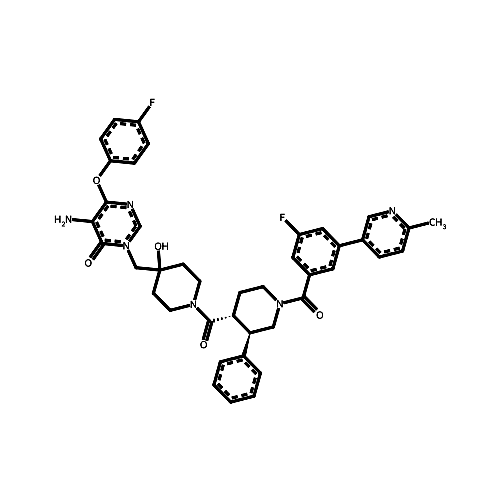 Cc1ccc(-c2cc(F)cc(C(=O)N3CC[C@@H](C(=O)N4CCC(O)(Cn5cnc(Oc6ccc(F)cc6)c(N)c5=O)CC4)[C@H](c4ccccc4)C3)c2)cn1